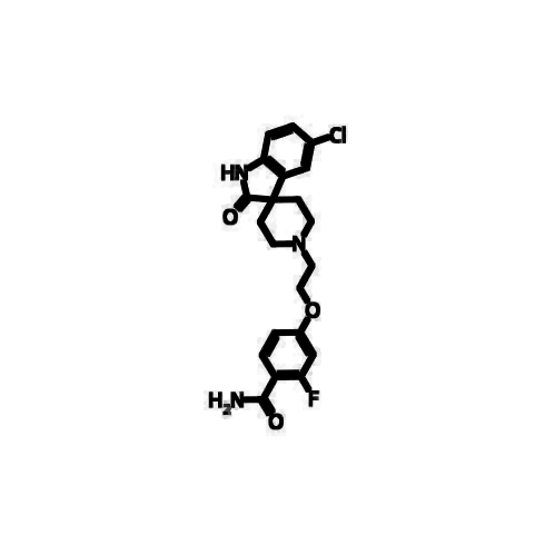 NC(=O)c1ccc(OCCN2CCC3(CC2)C(=O)Nc2ccc(Cl)cc23)cc1F